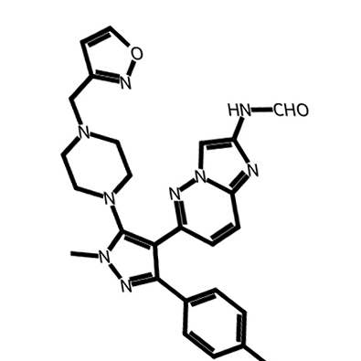 Cn1nc(-c2ccc(F)cc2)c(-c2ccc3nc(NC=O)cn3n2)c1N1CCN(Cc2ccon2)CC1